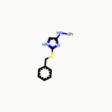 CCCNc1c[nH]c(SCc2ccccc2)n1